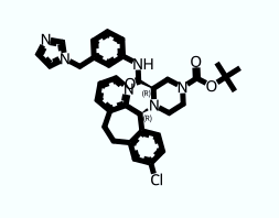 CC(C)(C)OC(=O)N1CCN([C@@H]2c3ccc(Cl)cc3CCc3cccnc32)[C@@H](C(=O)Nc2cccc(Cn3ccnc3)c2)C1